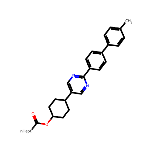 CCCCCCCC(=O)OC1CCC(c2cnc(-c3ccc(-c4ccc(C)cc4)cc3)nc2)CC1